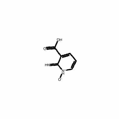 N=C1C(C(=O)O)=CC=C[NH+]1[O-]